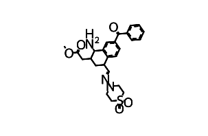 COC(=O)CC1CC(C=NN2CCS(=O)(=O)CC2)c2ccc(C(=O)c3ccccc3)cc2C1N